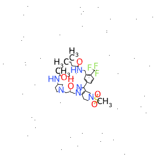 CC(=O)NC1CCN(CC(O)Cn2nc(-c3ccc(C(F)(F)F)c(CNC(=O)CC(C)C)c3)c3c2CCN(S(C)(=O)=O)C3)C1